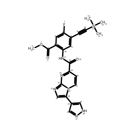 COC(=O)c1cc(F)c(C#C[Si](C)(C)C)cc1NC(=O)c1ccn2c(-c3cn[nH]c3)cnc2n1